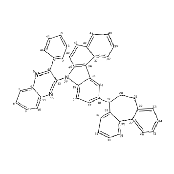 c1ccc(-c2nc3ccccc3nc2-n2c3ccc(C4CCc5ccccc5-c5ccccc54)cc3c3c4ccccc4ccc32)cc1